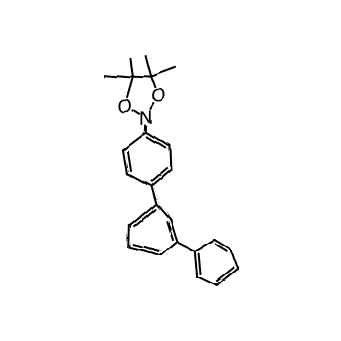 CC1(C)ON(c2ccc(-c3cccc(-c4ccccc4)c3)cc2)OC1(C)C